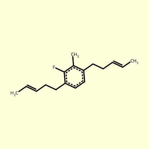 C/C=C/CCc1ccc(CC/C=C/C)c(F)c1C